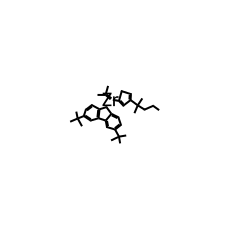 CCCC(C)(C)C1=CC[C]([Zr](=[C](C)C)[CH]2c3ccc(C(C)(C)C)cc3-c3cc(C(C)(C)C)ccc32)=C1